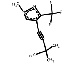 Cn1cc(C#CC(C)(C)C)c(C(F)(F)F)n1